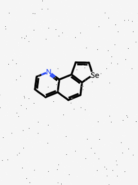 c1cnc2c(c1)ccc1[se]ccc12